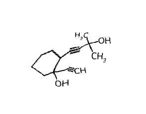 C#CC1(O)CCCCC1C#CC(C)(C)O